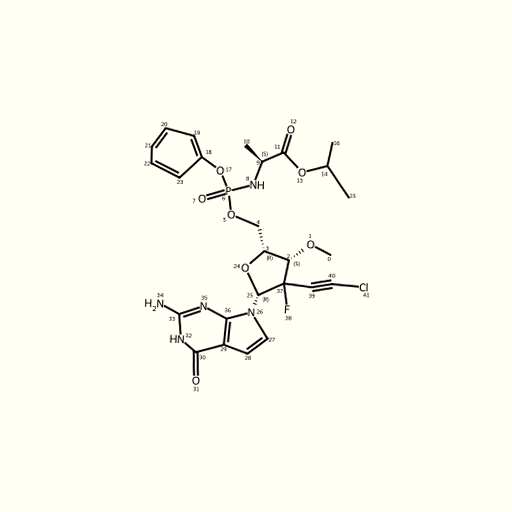 CO[C@H]1[C@@H](COP(=O)(N[C@@H](C)C(=O)OC(C)C)Oc2ccccc2)O[C@@H](n2ccc3c(=O)[nH]c(N)nc32)C1(F)C#CCl